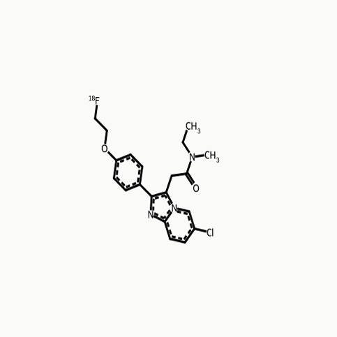 CCN(C)C(=O)Cc1c(-c2ccc(OCC[18F])cc2)nc2ccc(Cl)cn12